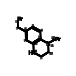 CC(C)Cc1ccc2c(c1)NCCN2C(C)C